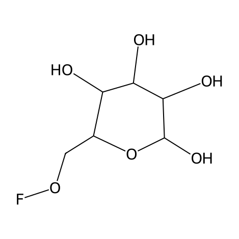 OC1OC(COF)C(O)C(O)C1O